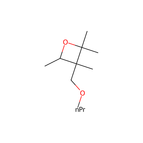 CCCOCC1(C)C(C)OC1(C)C